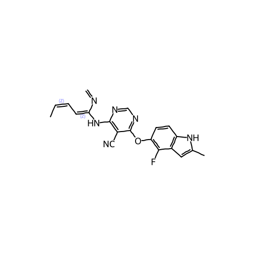 C=N/C(=C\C=C/C)Nc1ncnc(Oc2ccc3[nH]c(C)cc3c2F)c1C#N